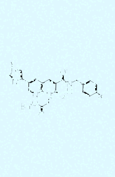 Cn1cnc(-c2cnc3c(c2)cc(C(=O)NCc2ccc(Cl)cc2)c(=O)n3CC(=O)OC(C)(C)C)c1